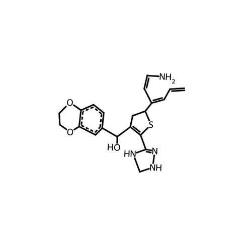 C=C/C=C(\C=C/N)C1CC(C(O)c2ccc3c(c2)OCCO3)=C(C2=NNCN2)S1